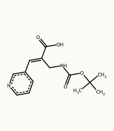 CC(C)(C)OC(=O)NC/C(=C\c1cccnc1)C(=O)O